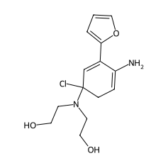 NC1=CCC(Cl)(N(CCO)CCO)C=C1c1ccco1